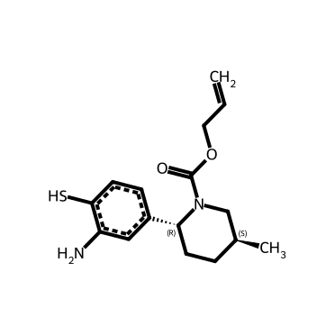 C=CCOC(=O)N1C[C@@H](C)CC[C@@H]1c1ccc(S)c(N)c1